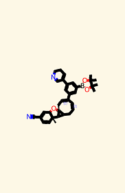 CC1(C)OB(c2cc(C3=CCCN=C3)cc(C3=C/C[C@]45OC6C=C(C#N)C=C[C@@]6(C)C4C5C/C=C\3)c2)OC1(C)C